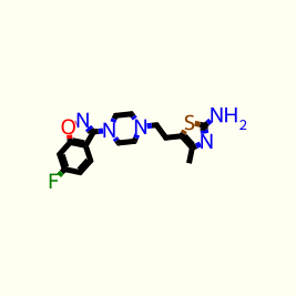 Cc1nc(N)sc1CCN1CCN(c2noc3cc(F)ccc23)CC1